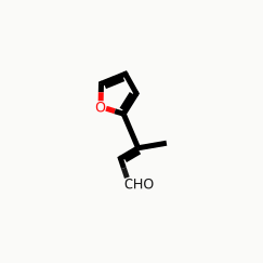 C/C(=C\C=O)c1ccco1